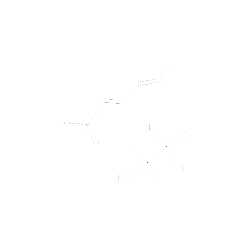 C/C=C/C=C/C(=O)O.CC(C)(O)C(Cl)(Cl)Cl